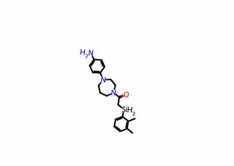 Cc1cccc([SiH2]CC(=O)N2CCCN(c3ccc(N)cc3)CC2)c1C